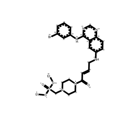 CCOP(=O)(CN1CCN(C(=O)C=CCNc2ccc3ncnc(Nc4cccc(Br)c4)c3c2)CC1)OCC